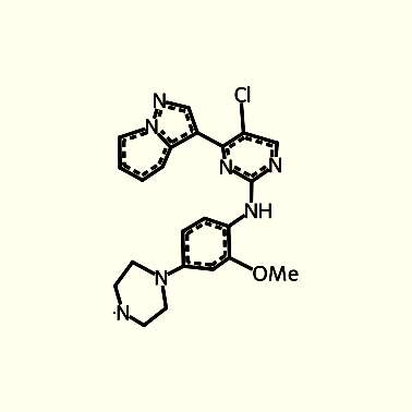 COc1cc(N2CC[N]CC2)ccc1Nc1ncc(Cl)c(-c2cnn3ccccc23)n1